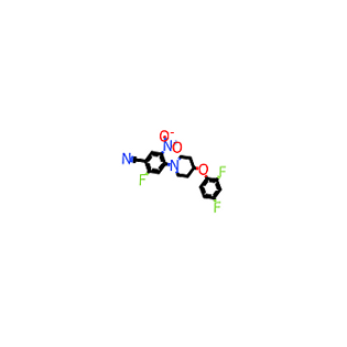 N#Cc1cc([N+](=O)[O-])c(N2CCC(Oc3ccc(F)cc3F)CC2)cc1F